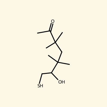 CC(=O)C(C)(C)CC(C)(C)C(O)CS